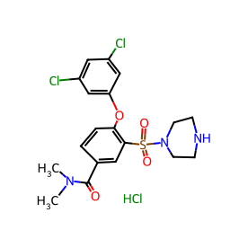 CN(C)C(=O)c1ccc(Oc2cc(Cl)cc(Cl)c2)c(S(=O)(=O)N2CCNCC2)c1.Cl